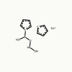 OBOB(O)[c-]1cccc1.[Fe+2].c1cc[cH-]c1